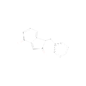 O=C1C=CC=C2C1=CC(=O)C2Cc1ccccc1